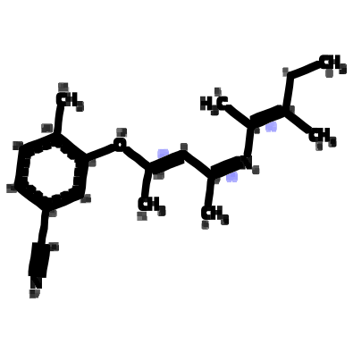 CC/C(C)=C(C)/N=C(C)\C=C(/C)Oc1cc(C#N)ccc1C